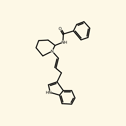 O=C(NC1CCCCN1C=CCc1c[nH]c2ccccc12)c1ccccc1